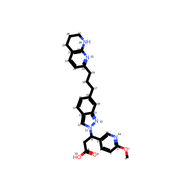 COc1ccc(C(CC(=O)O)n2cc3ccc(CCCc4ccc5c(n4)NCCC5)cc3n2)cn1